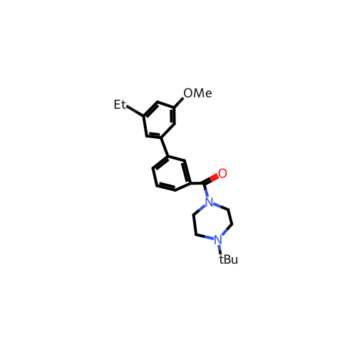 CCc1cc(OC)cc(-c2cccc(C(=O)N3CCN(C(C)(C)C)CC3)c2)c1